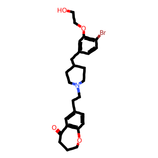 O=C1CCCOc2ccc(CCN3CCC(Cc4ccc(Br)c(OCCO)c4)CC3)cc21